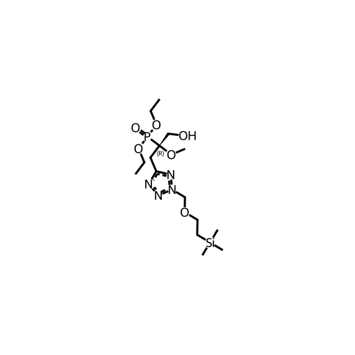 CCOP(=O)(OCC)[C@@](CO)(Cc1nnn(COCC[Si](C)(C)C)n1)OC